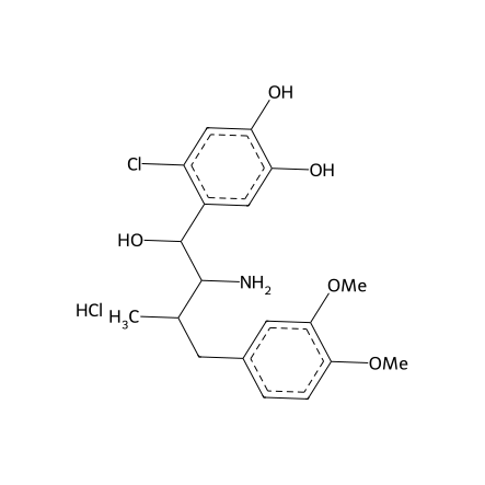 COc1ccc(CC(C)C(N)C(O)c2cc(O)c(O)cc2Cl)cc1OC.Cl